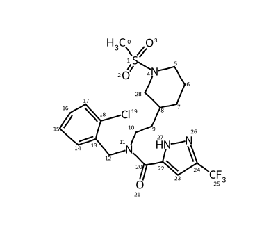 CS(=O)(=O)N1CCCC(CCN(Cc2ccccc2Cl)C(=O)c2cc(C(F)(F)F)n[nH]2)C1